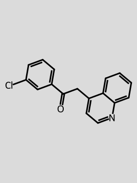 O=C(Cc1ccnc2ccccc12)c1cccc(Cl)c1